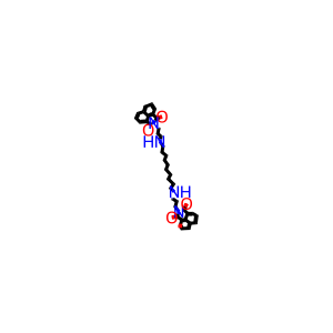 O=C1c2cccc3cccc(c23)C(=O)N1CCCNCCCCCCCCCCNCCCN1C(=O)c2cccc3cccc(c23)C1=O